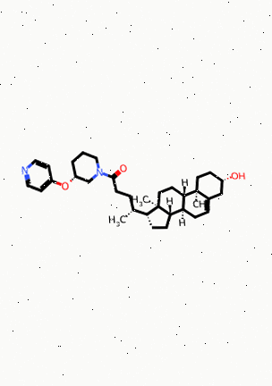 C[C@H](CCC(=O)N1CCC[C@@H](Oc2ccncc2)C1)[C@H]1CC[C@H]2[C@@H]3CC=C4C[C@@H](O)CC[C@]4(C)[C@H]3CC[C@]12C